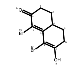 O=C1CCC2CCC(O)=C(Br)C2=C1Br